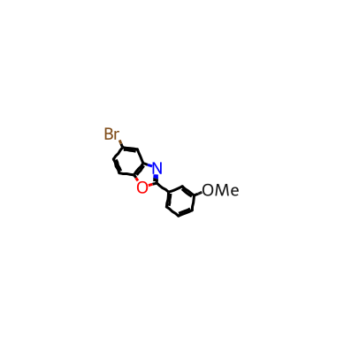 COc1cccc(-c2nc3cc(Br)ccc3o2)c1